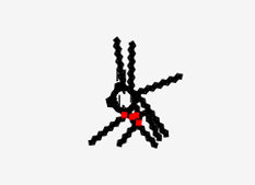 CCCCCCCCCCCCC1=C(CCCCCCCCCCCC)c2nc1c(CCCCCCCCCCCC)c1[nH]c(cc3nc(cc4c(CCCCCCCCCCCC)c(CCCCCCCCCCCC)c(c2CCCCCCCCCCCC)n4CCCCCCCCCCCC)C=C3)cc1CCCCCCCCCCCC